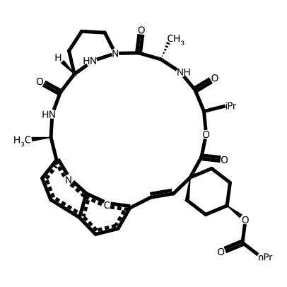 CCCC(=O)O[C@H]1CC[C@]2(/C=C/c3ccc4ccc(nc4c3)[C@@H](C)NC(=O)[C@@H]3CCCN(N3)C(=O)[C@H](C)NC(=O)C(C(C)C)OC2=O)CC1